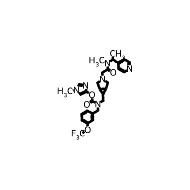 CC(c1ccncc1)N(C)C(=O)CN1CC2C(C1)C2CN(Cc1cccc(OC(F)(F)F)c1)C(=O)Oc1cn(C)cn1